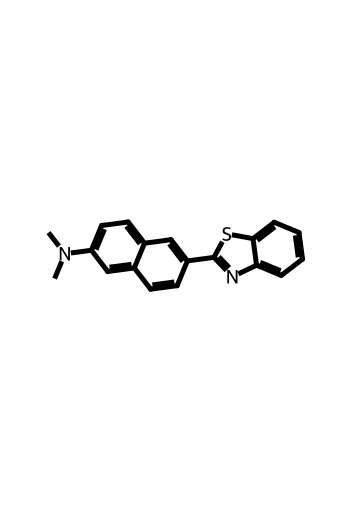 CN(C)c1ccc2cc(-c3nc4ccccc4s3)ccc2c1